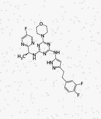 C[C@H](Nc1nc(Nc2cc(CCc3ccc(F)c(F)c3)n[nH]2)nc(N2CCOCC2)n1)c1ncc(F)cn1